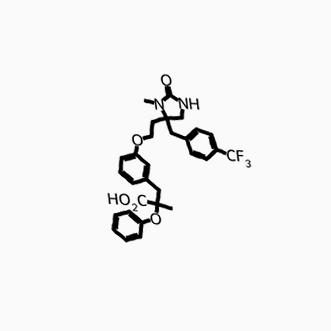 CN1C(=O)NCC1(CCOc1cccc(CC(C)(Oc2ccccc2)C(=O)O)c1)Cc1ccc(C(F)(F)F)cc1